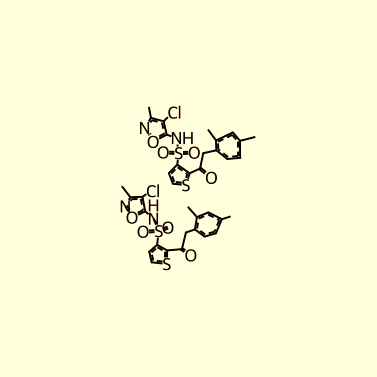 Cc1ccc(CC(=O)c2sccc2S(=O)(=O)Nc2onc(C)c2Cl)c(C)c1.Cc1ccc(CC(=O)c2sccc2S(=O)(=O)Nc2onc(C)c2Cl)c(C)c1